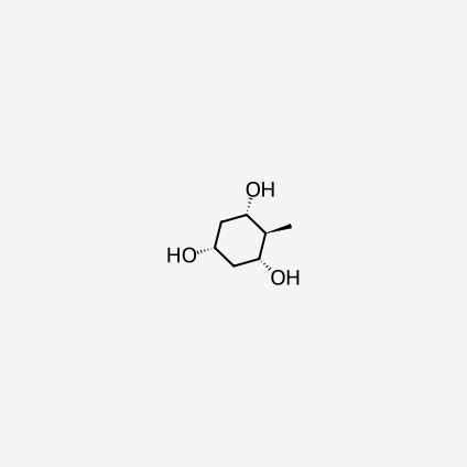 C[C@H]1[C@H](O)C[C@H](O)C[C@@H]1O